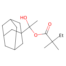 CCC(C)(C)C(=O)OC(C)(O)C12CC3CC(CC(C3)C1)C2